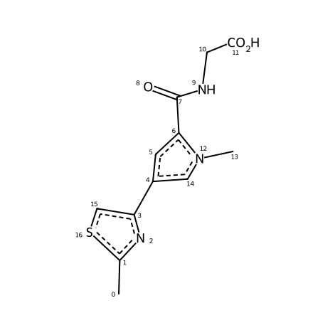 Cc1nc(-c2cc(C(=O)NCC(=O)O)n(C)c2)cs1